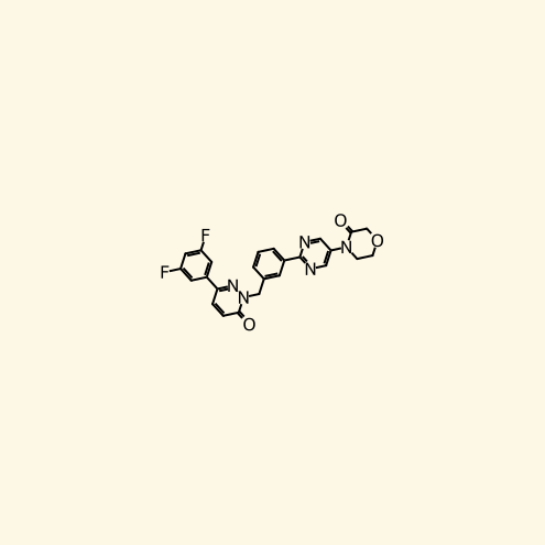 O=C1COCCN1c1cnc(-c2cccc(Cn3nc(-c4cc(F)cc(F)c4)ccc3=O)c2)nc1